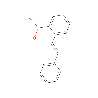 CC(C)C(O)c1ccccc1C=Cc1ccccc1